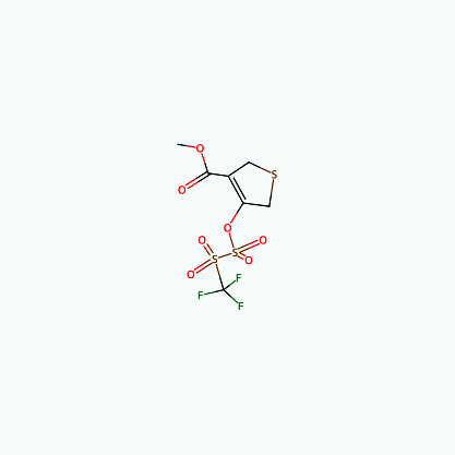 COC(=O)C1=C(OS(=O)(=O)S(=O)(=O)C(F)(F)F)CSC1